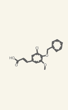 COc1cc(C=CC(=O)O)cc(Cl)c1OCc1ccccc1